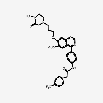 COc1cc2c(-c3ccc(NC(=O)Cc4ccc(C(F)(F)F)cc4)cc3)ncnc2cc1OCCCN1CCN(C)C(=O)C1